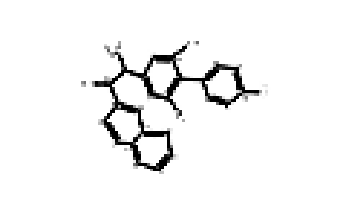 CC(c1cc(F)c(-c2ccc(Cl)cc2)c(F)c1)C(F)c1ccc2ccccc2c1